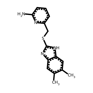 Cc1cc2nc(SCc3cccc(N)n3)[nH]c2cc1C